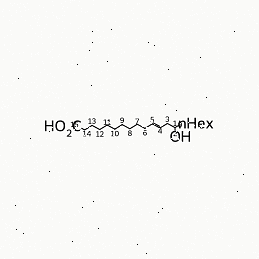 CCCCCCC(O)C/C=C/CCCCCCCCCC(=O)O